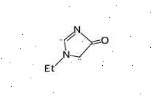 CCN1[C]C(=O)N=[C]1